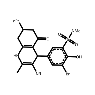 CCCC1CC(=O)C2=C(C1)NC(C)=C(C#N)C2c1cc(Br)c(O)c(S(=O)(=O)NC)c1